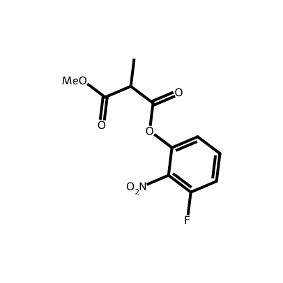 COC(=O)C(C)C(=O)Oc1cccc(F)c1[N+](=O)[O-]